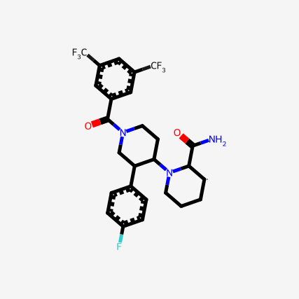 NC(=O)C1[CH]CCCN1C1CCN(C(=O)c2cc(C(F)(F)F)cc(C(F)(F)F)c2)CC1c1ccc(F)cc1